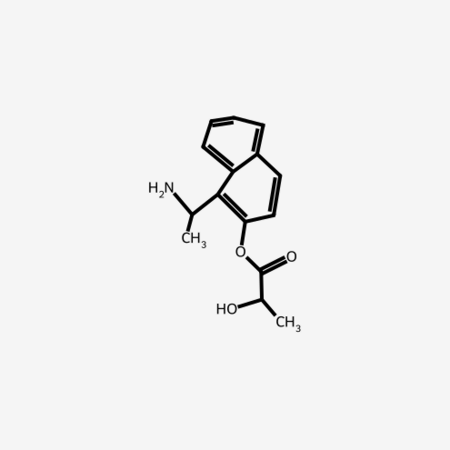 CC(O)C(=O)Oc1ccc2ccccc2c1C(C)N